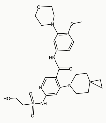 CSc1ccc(NC(=O)c2cnc(NS(=O)(=O)CCO)cc2N2CCC3(CC2)CC3)cc1N1CCOCC1